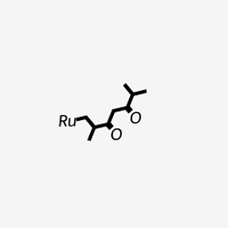 CC(C)C(=O)CC(=O)C(C)[CH2][Ru]